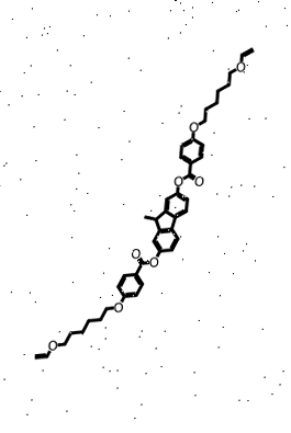 C=COCCCCCCOc1ccc(C(=O)Oc2ccc3c(c2)C(C)c2cc(OC(=O)c4ccc(OCCCCCCOC=C)cc4)ccc2-3)cc1